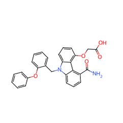 NC(=O)c1cccc2c1c1c(OCC(=O)O)cccc1n2Cc1ccccc1Oc1ccccc1